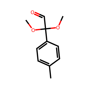 COC(C=O)(OC)c1ccc(C)cc1